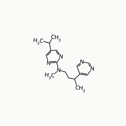 CC(C)c1cnc(N(C)CCC(C)c2cncnc2)nc1